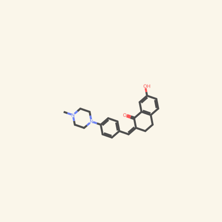 CN1CCN(c2ccc(C=C3CCc4ccc(O)cc4C3=O)cc2)CC1